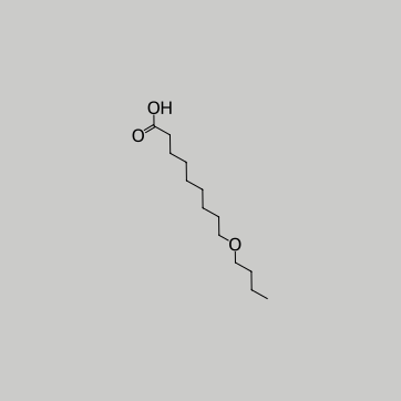 CCCCOCCCCCCCCC(=O)O